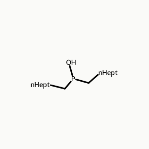 CCCCCCCCP(O)CCCCCCCC